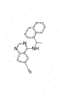 C#Cc1ccc2ncnc(NC(C)c3cccc4ccccc34)c2c1